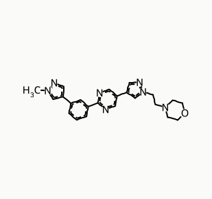 Cn1cc(-c2cccc(-c3ncc(-c4cnn(CCN5CCOCC5)c4)cn3)c2)cn1